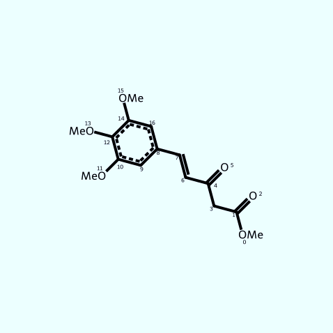 COC(=O)CC(=O)C=Cc1cc(OC)c(OC)c(OC)c1